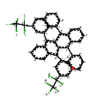 FC(F)(F)C(F)(F)c1cccc(-c2c3ccccc3c(-c3cccc(C(F)(F)C(F)(F)F)c3)c3c(-c4ccccc4)c4ccccc4c(-c4ccccc4)c23)c1